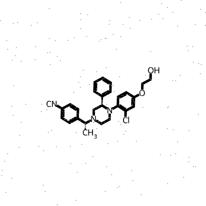 [C-]#[N+]c1ccc([C@@H](C)N2CCN(c3ccc(OCCO)cc3Cl)[C@H](c3ccccc3)C2)cc1